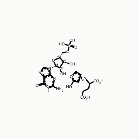 NC(CCC(=O)O)C(=O)O.Nc1nc2c(ncn2[C@@H]2O[C@H](COP(=O)(O)O)[C@@H](O)[C@H]2O)c(=O)[nH]1.Oc1ccco1